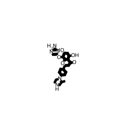 CC1CNCCN1c1ccc(-c2cc(=O)c3c(O)cc(O)c(Oc4cnc(N)s4)c3o2)cc1